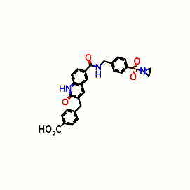 O=C(O)c1ccc(Cc2cc3cc(C(=O)NCc4ccc(S(=O)(=O)N5CC5)cc4)ccc3[nH]c2=O)cc1